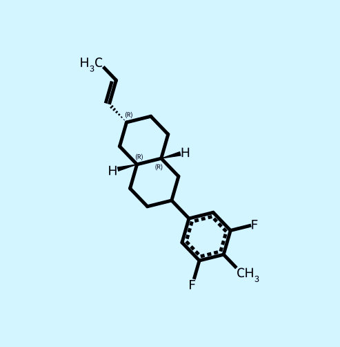 CC=C[C@@H]1CC[C@@H]2CC(c3cc(F)c(C)c(F)c3)CC[C@@H]2C1